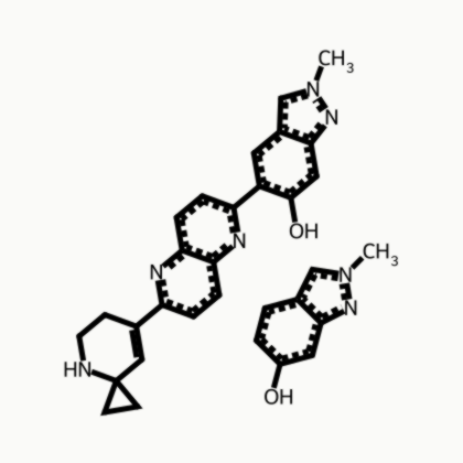 Cn1cc2cc(-c3ccc4nc(C5=CC6(CC6)NCC5)ccc4n3)c(O)cc2n1.Cn1cc2ccc(O)cc2n1